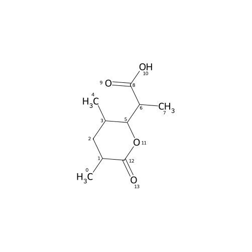 CC1CC(C)C(C(C)C(=O)O)OC1=O